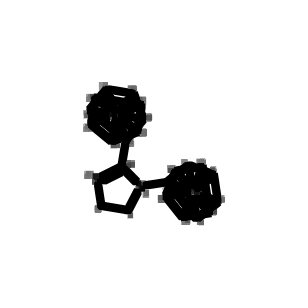 C1CN([C]23[CH]4[CH]5[CH]6[CH]2[Fe]56432789[CH]3[CH]2[CH]7[CH]8[CH]39)C([C]23[CH]4[CH]5[CH]6[CH]2[Fe]56432789[CH]3[CH]2[CH]7[CH]8[CH]39)=N1